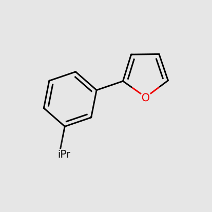 CC(C)c1cccc(-c2ccco2)c1